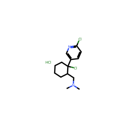 CN(C)CC1CCCCC1(Cl)c1ccc(Cl)nc1.Cl